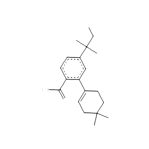 CC1(C)CC=C(c2cc(C(C)(C)CO)ccc2C(N)=O)CC1